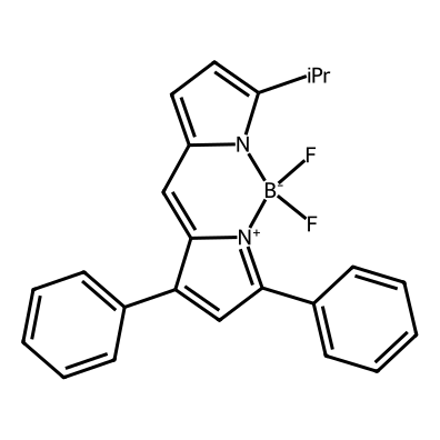 CC(C)c1ccc2n1[B-](F)(F)[N+]1=C(c3ccccc3)C=C(c3ccccc3)C1=C2